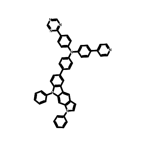 c1ccc(-n2ccc3cc4c5cc(-c6ccc(N(c7ccc(-c8ccncc8)cc7)c7ccc(-c8ncncn8)cc7)cc6)ccc5n(-c5ccccc5)c4cc32)cc1